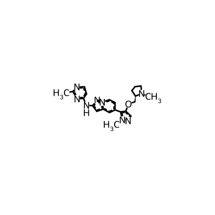 Cc1nccc(Nc2cc3cc(-c4c(OC[C@H]5CCCN5C)cnn4C)ccn3n2)n1